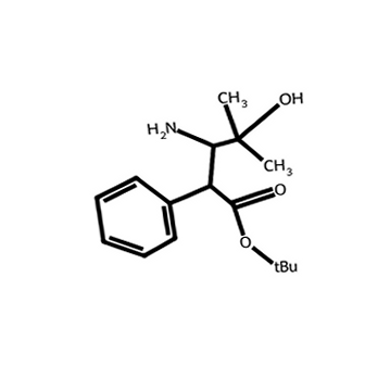 CC(C)(C)OC(=O)C(c1ccccc1)C(N)C(C)(C)O